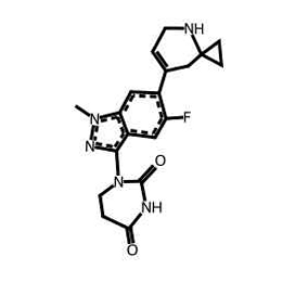 Cn1nc(N2CCC(=O)NC2=O)c2cc(F)c(C3=CCNC4(CC4)C3)cc21